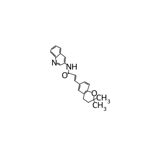 CC1(C)CCc2cc(/C=C/C(=O)Nc3cnc4ccccc4c3)ccc2O1